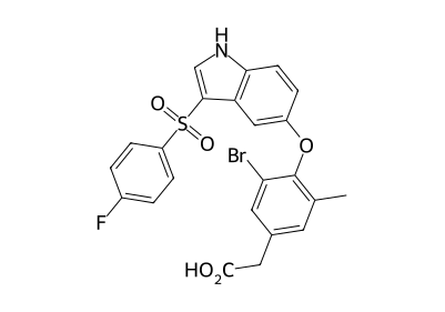 Cc1cc(CC(=O)O)cc(Br)c1Oc1ccc2[nH]cc(S(=O)(=O)c3ccc(F)cc3)c2c1